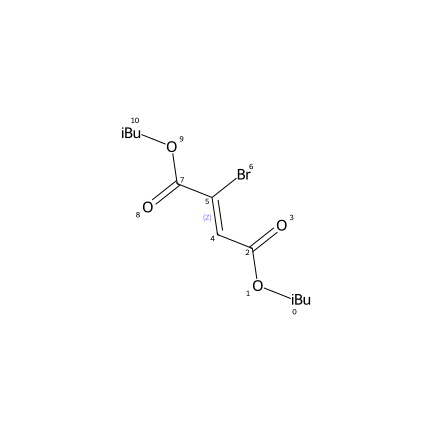 CCC(C)OC(=O)/C=C(\Br)C(=O)OC(C)CC